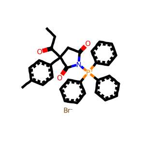 CCC(=O)C1(c2ccc(C)cc2)CC(=O)N([P+](c2ccccc2)(c2ccccc2)c2ccccc2)C1=O.[Br-]